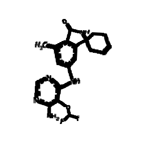 Cc1cc(Nc2ncnc(N)c2OC(F)F)cc2c1C(=O)NC21CCCCC1